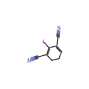 N#CC1=CCCC(C#N)=C1I